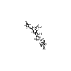 CCC(C)Nc1cc(Nc2ccnc(-c3cnn(S(=O)(=O)C4CC4)c3)n2)ncc1C#Cc1cnn(C)c1